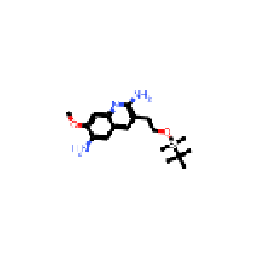 COc1cc2nc(N)c(CCO[Si](C)(C)C(C)(C)C)cc2cc1N